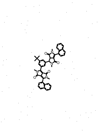 CN1C(=O)C2=C(c3cccc4ccccc34)N(C)C(=O)C2=C1c1cc(C2C3C(=O)N(C)C(c4cccc5ccccc45)=C3C(=O)N2C)cc(C(C)(C)C)c1